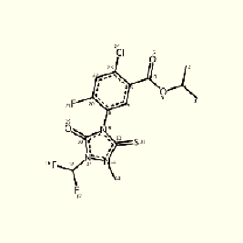 CC(C)OC(=O)c1cc(-n2c(=S)n(C)n(C(F)F)c2=O)c(F)cc1Cl